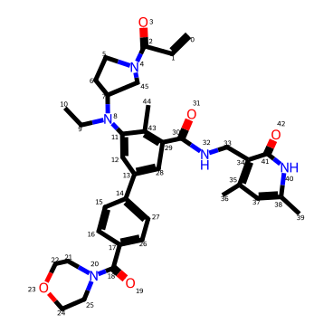 C=CC(=O)N1CCC(N(CC)c2cc(-c3ccc(C(=O)N4CCOCC4)cc3)cc(C(=O)NCc3c(C)cc(C)[nH]c3=O)c2C)C1